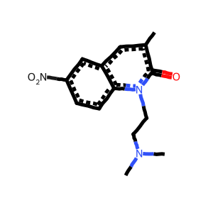 Cc1cc2cc([N+](=O)[O-])ccc2n(CCN(C)C)c1=O